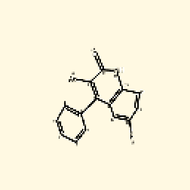 CC(=O)c1c(-c2ccccc2)c2cc(F)ccc2[nH]c1=O